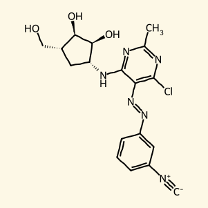 [C-]#[N+]c1cccc(/N=N/c2c(Cl)nc(C)nc2N[C@@H]2C[C@H](CO)[C@@H](O)[C@H]2O)c1